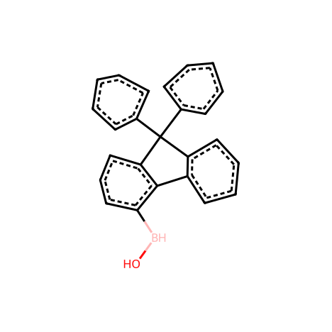 OBc1cccc2c1-c1ccccc1C2(c1ccccc1)c1ccccc1